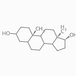 C[C@]12CCC(O)CC1CCC1C2CC[C@@]2(C)C1CC[C@@H]2O